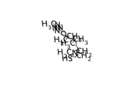 C=C(CCCC(C)(C)CCC(C)(C)c1ccc(-c2nnc(C)nn2)cc1)CN1C(=C)CC(S)C1=C